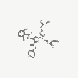 CC(C)OC(=O)OCOP(=O)(OCOC(=O)OC(C)C)n1cc(NC(=O)c2c(Cl)cccc2Cl)c(C(=O)NC2CCNCC2)n1